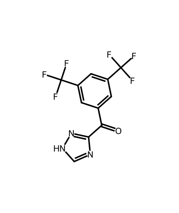 O=C(c1cc(C(F)(F)F)cc(C(F)(F)F)c1)c1nc[nH]n1